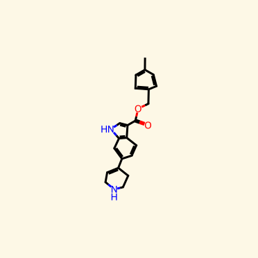 Cc1ccc(COC(=O)c2c[nH]c3cc(C4=CCNCC4)ccc23)cc1